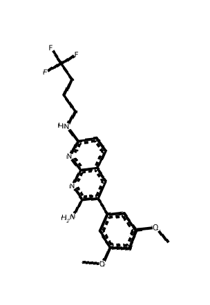 COc1cc(OC)cc(-c2cc3ccc(NCCCC(F)(F)F)nc3nc2N)c1